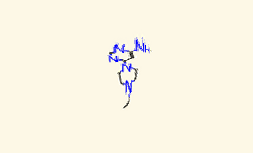 CCN1CCN(c2cc([NH])ncn2)CC1